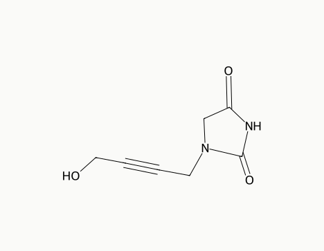 O=C1CN(CC#CCO)C(=O)N1